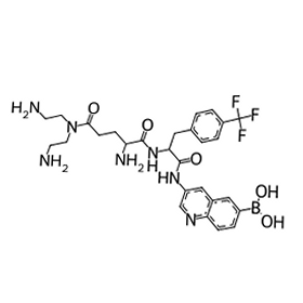 NCCN(CCN)C(=O)CCC(N)C(=O)NC(Cc1ccc(C(F)(F)F)cc1)C(=O)Nc1cnc2ccc(B(O)O)cc2c1